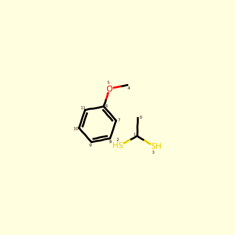 CC(S)S.COc1ccccc1